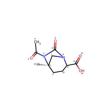 CC(=O)N1C(=O)N2C[C@H]1CCC2C(=O)O